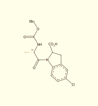 C[C@H](NC(=O)OC(C)(C)C)C(=O)N1c2ccc(Cl)cc2CC1C(=O)O